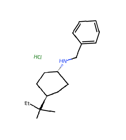 CCC(C)(C)[C@H]1CC[C@H](NCc2ccccc2)CC1.Cl